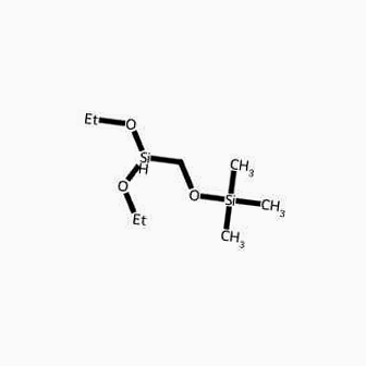 CCO[SiH](CO[Si](C)(C)C)OCC